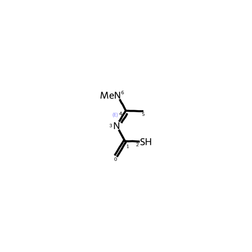 C=C(S)/N=C(\C)NC